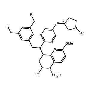 CCOC(=O)N1c2ccc(OC)nc2C(N(Cc2cc(CF)cc(CF)c2)c2ncc(O[C@H]3CCN(C(C)=O)C3)cn2)CC1CC